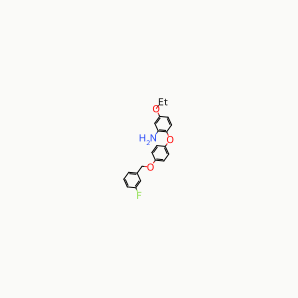 CCOc1ccc(Oc2ccc(OCc3cccc(F)c3)cc2)c(N)c1